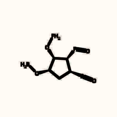 BO[C@@H]1C[C@H](B=O)[C@H](P=O)[C@@H]1OP